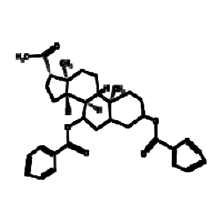 CC(=O)[C@H]1CC[C@H]2[C@@H]3C(OC(=O)c4ccccc4)CC4CC(OC(=O)c5ccccc5)CC[C@]4(C)[C@H]3CC[C@]12C